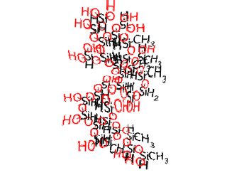 C[SiH](O)O[SiH](O)O[SiH](C)O[SiH]1O[SiH](C)O[SiH](O)O[SiH]2O[SiH](O)O[SiH](O)O[SiH](O[SiH](O)O[SiH]3O[SiH](O)O[SiH2]O[SiH](C)O[SiH](C)O[SiH](O[SiH]4O[SiH](O[SiH](C)O)O[SiH](C)O[SiH](O[SiH](O)O)O[SiH](O[SiH](O)O[SiH](O)O)O[SiH](O[SiH](O)O)O4)O3)O[SiH](O)O[SiH](O1)O2